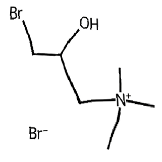 C[N+](C)(C)CC(O)CBr.[Br-]